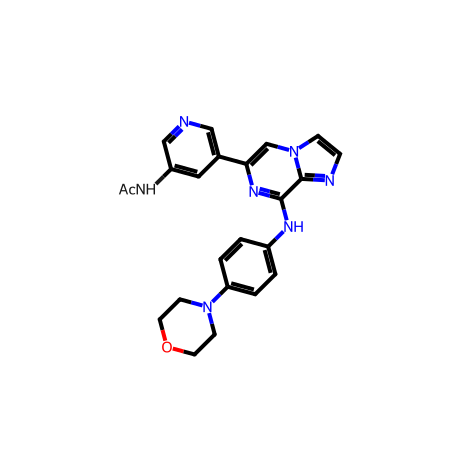 CC(=O)Nc1cncc(-c2cn3ccnc3c(Nc3ccc(N4CCOCC4)cc3)n2)c1